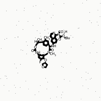 Cc1cc2ccc1[C@@H](C)COC(=O)Nc1cc(F)c(O[C@@H]3CCOC3)c(c1)CN(C)C(=O)C2Nc1ccc2c(N(C(=O)O)C(=O)OC(C)(C)C)nccc2c1